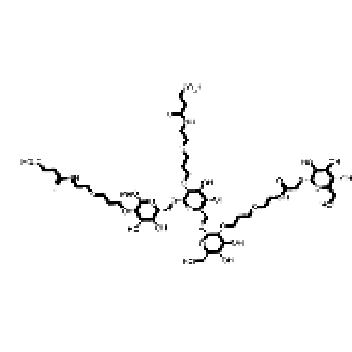 CO[C@H]1O[C@H](CO[C@H]2O[C@H](CO[C@H]3O[C@H](CO)[C@@H](O)[C@H](O)[C@H]3OCCCSCCNC(=O)CS[C@H]3OC(CO)[C@@H](O)C(O)C3O)[C@@H](O)[C@H](O)[C@H]2OCCCSCCNC(=O)CCC(=O)O)[C@@H](O)[C@H](O)[C@H]1OCCCSCCNC(=O)CCC(=O)O